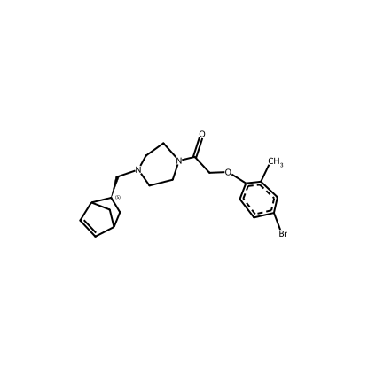 Cc1cc(Br)ccc1OCC(=O)N1CCN(C[C@H]2CC3C=CC2C3)CC1